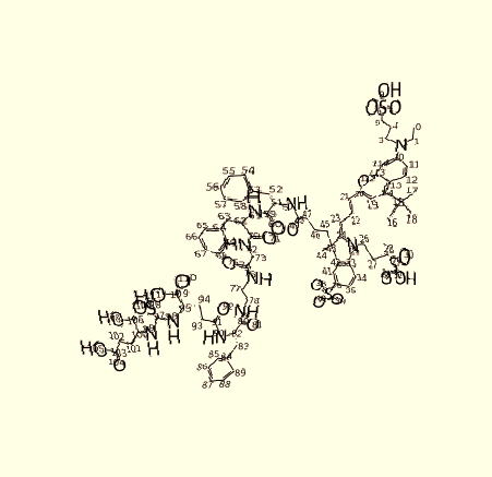 CCN(CCCS(=O)(=O)O)c1ccc2c(C(C)(C)C)cc(/C=C/C=C3\N(CCCS(=O)(=O)O)c4ccc(S(=O)(=O)[O-])cc4C3(C)CCCC(=O)N[C@@H](Cc3ccccc3)C(=O)NC(Cc3ccccc3)C(=O)NCC(=O)NCCNC(=O)[C@H](Cc3ccccc3)NC(=O)CC[C@H](NC(=S)N[C@@H](CCC(=O)O)C(=O)O)C(=O)O)[o+]c2c1